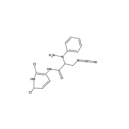 [N-]=[N+]=NCC(C(=O)NC1=C(Cl)NC(Cl)C=C1)N(N)c1ccccc1